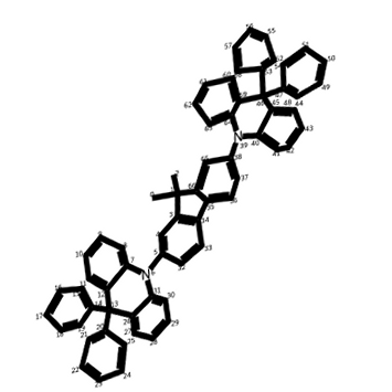 CC1(C)c2cc(N3c4ccccc4C(c4ccccc4)(c4ccccc4)c4ccccc43)ccc2-c2ccc(N3c4ccccc4C(c4ccccc4)(c4ccccc4)c4ccccc43)cc21